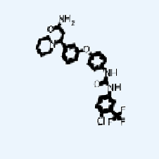 NC(=O)CC(c1cccc(Oc2ccc(NC(=O)Nc3ccc(Cl)c(C(F)(F)F)c3)cc2)c1)N1CCCCC1